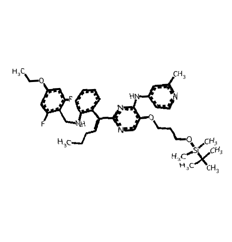 CCC/C=C(/c1ncc(OCCCO[Si](C)(C)C(C)(C)C)c(Nc2ccnc(C)c2)n1)c1ccccc1NCc1c(F)cc(OCC)cc1F